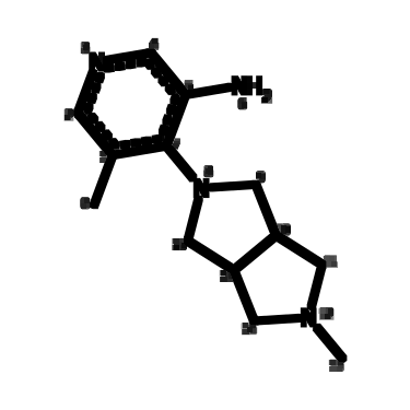 Cc1cncc(N)c1N1CC2CN(C)CC2C1